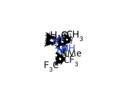 CNC(=N)N(Cc1cc(C(F)(F)F)cc(C(F)(F)F)c1)Cc1cc2c(nc1N(CC1CC1)CC1CC1)C(C)(C)CC2